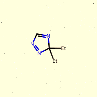 CCC1(CC)N=CN=N1